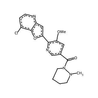 COc1cc(C(=O)N2CCCCN2C)cnc1-c1cc2nccc(Cl)c2o1